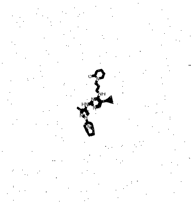 Cc1nn(C2CC3CCC(C2)N3C)cc1Nc1ncc(C2CC2)c(NCCCN2CCCCC2=O)n1